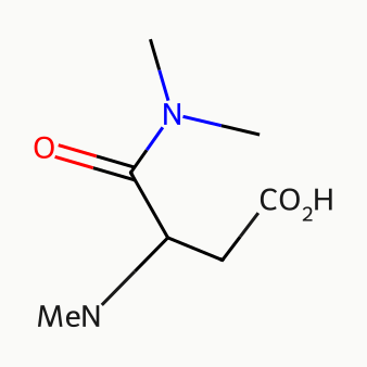 CNC(CC(=O)O)C(=O)N(C)C